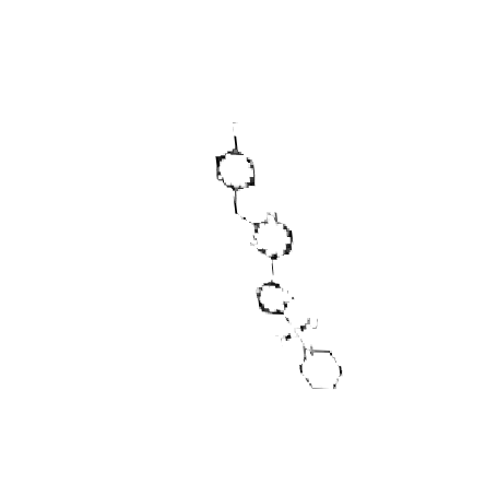 O=S(=O)(c1ccc(-c2ccnc(Cc3ccc(F)cc3)n2)s1)N1CCCCC1